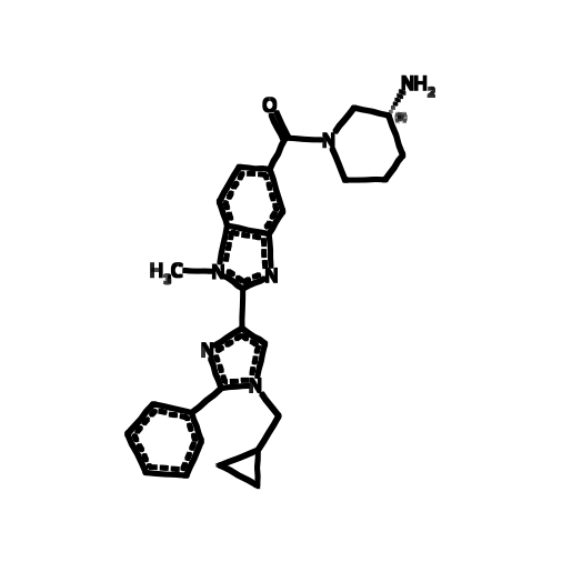 Cn1c(-c2cn(CC3CC3)c(-c3ccccc3)n2)nc2cc(C(=O)N3CCC[C@@H](N)C3)ccc21